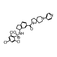 O=C(c1ccc2c(c1)C(NS(=O)(=O)c1c(Cl)cc(Cl)cc1Cl)CC2)N1CCC2(CCN(c3ccncc3)CC2)C1